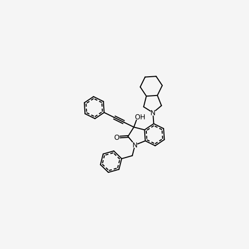 O=C1N(Cc2ccccc2)c2cccc(N3CC4CCCCC4C3)c2C1(O)C#Cc1ccccc1